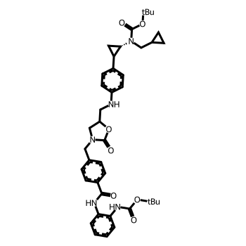 CC(C)(C)OC(=O)Nc1ccccc1NC(=O)c1ccc(CN2CC(CNc3ccc(C4C[C@@H]4N(CC4CC4)C(=O)OC(C)(C)C)cc3)OC2=O)cc1